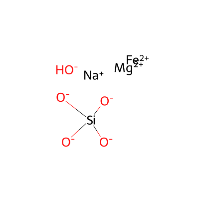 [Fe+2].[Mg+2].[Na+].[O-][Si]([O-])([O-])[O-].[OH-]